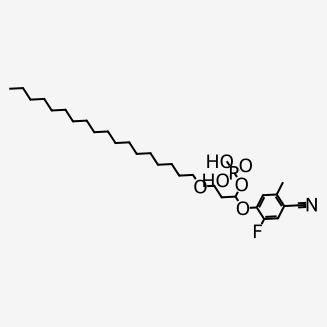 CCCCCCCCCCCCCCCCCCOCCC(Oc1cc(C)c(C#N)cc1F)OP(=O)(O)O